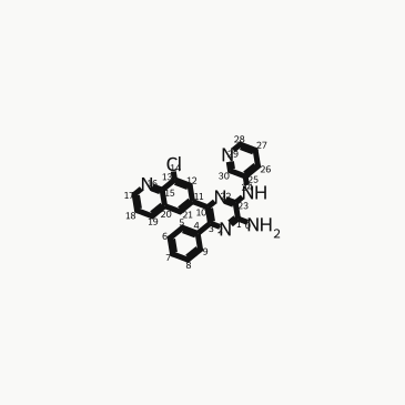 Nc1nc(-c2ccccc2)c(-c2cc(Cl)c3ncccc3c2)nc1Nc1cccnc1